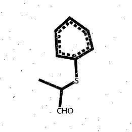 CC(C=O)Sc1ccccc1